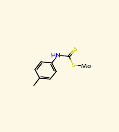 Cc1ccc(NC(=S)[S][Mo])cc1